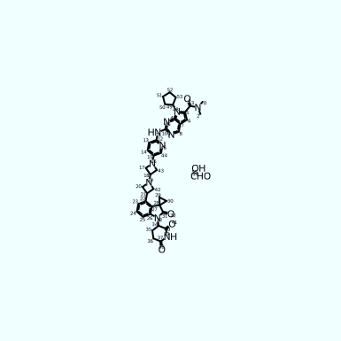 CN(C)C(=O)c1cc2cnc(Nc3ccc(N4CC(N5CC(c6cccc7c6C6(CC6)C(=O)N7C6CCC(=O)NC6=O)C5)C4)cn3)nc2n1C1CCCC1.O=CO